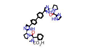 CN(C(=O)O)[C@@H](C(=O)N1CCC[C@H]1c1ncc(-c2ccc(-c3ccc(-c4cnc([C@@H]5CCCN5C(=O)c5ncc[nH]5)[nH]4)cc3)cc2)[nH]1)c1ccccc1